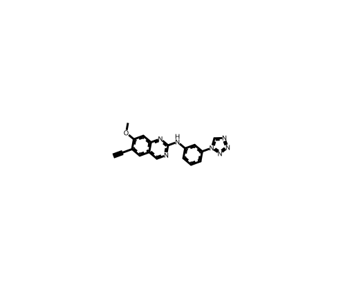 C#Cc1cc2cnc(Nc3cccc(-n4cnnn4)c3)nc2cc1OC